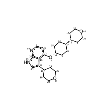 c1nc(O[C@H]2CC[C@H](N3CCOCC3)CC2)c2c(C3CCOCC3)c[nH]c2n1